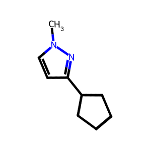 Cn1ccc(C2CCCC2)n1